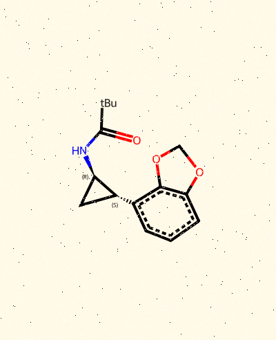 CC(C)(C)C(=O)N[C@@H]1C[C@H]1c1cccc2c1OCO2